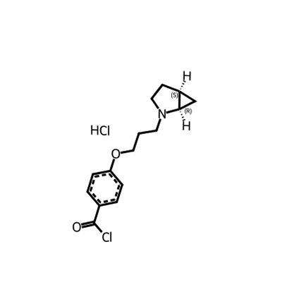 Cl.O=C(Cl)c1ccc(OCCCN2CC[C@H]3C[C@H]32)cc1